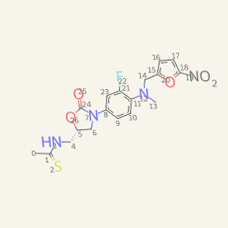 CC(=S)NC[C@H]1CN(c2ccc(N(C)Cc3ccc([N+](=O)[O-])o3)c(F)c2)C(=O)O1